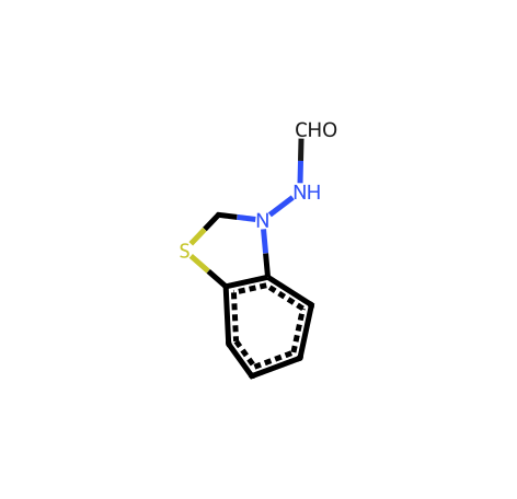 O=CNN1CSc2ccccc21